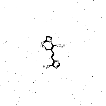 Cc1ncsc1C=C/C(CS)=C(\C(=O)O)N1CCC1=O